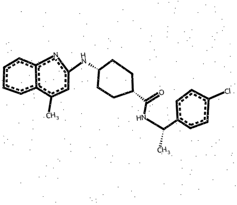 Cc1cc(N[C@H]2CC[C@@H](C(=O)N[C@@H](C)c3ccc(Cl)cc3)CC2)nc2ccccc12